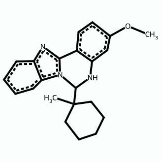 COc1ccc2c(c1)NC(C1(C)CCCCC1)n1c-2nc2ccccc21